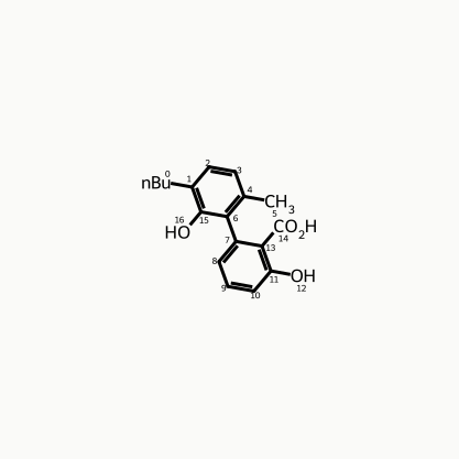 CCCCc1ccc(C)c(-c2cccc(O)c2C(=O)O)c1O